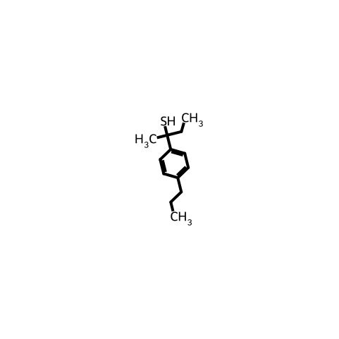 CCCc1ccc(C(C)(S)CC)cc1